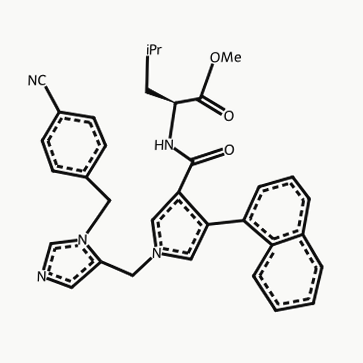 COC(=O)[C@H](CC(C)C)NC(=O)c1cn(Cc2cncn2Cc2ccc(C#N)cc2)cc1-c1cccc2ccccc12